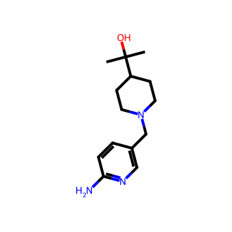 CC(C)(O)C1CCN(Cc2ccc(N)nc2)CC1